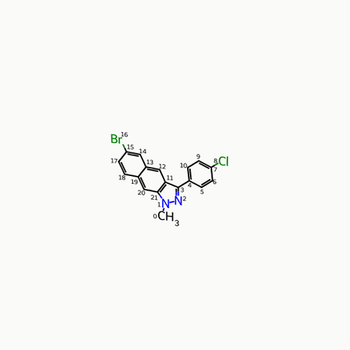 Cn1nc(-c2ccc(Cl)cc2)c2cc3cc(Br)ccc3cc21